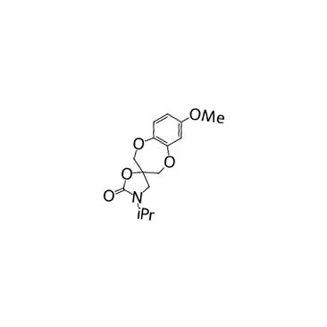 COc1ccc2c(c1)OCC1(CO2)CN(C(C)C)C(=O)O1